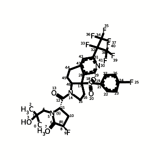 CC(C)(O)CN1C(=O)[C@H](F)C[C@H]1C(=O)N1CCC2(S(=O)(=O)c3ccc(F)cc3)c3cnc(C(F)(C(F)(F)F)C(F)(F)F)cc3CCC12